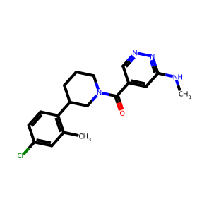 CNc1cc(C(=O)N2CCCC(c3ccc(Cl)cc3C)C2)cnn1